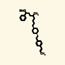 CC=Cc1ccc(CC[C@H]2CC[C@H](CCCCC(C)CCC(OC)c3ccccc3)CC2)cc1